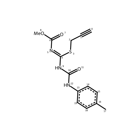 C#CCS/C(=N\C(=O)OC)NC(=O)Nc1ccc(C)cc1